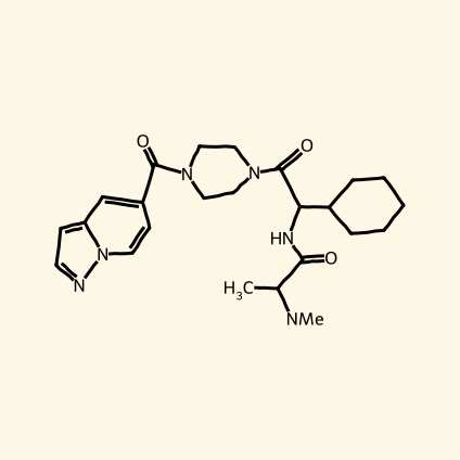 CNC(C)C(=O)NC(C(=O)N1CCN(C(=O)c2ccn3nccc3c2)CC1)C1CCCCC1